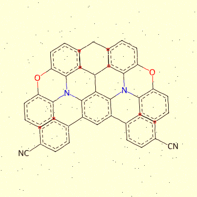 N#Cc1ccc(-c2cc(-c3ccc(C#N)cc3)c(N3c4ccccc4Oc4ccccc43)c(C3CCCCC3)c2N2c3ccccc3Oc3ccccc32)cc1